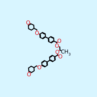 CC(COC(=O)c1ccc(-c2ccc(OCC3CCC4OC4C3)cc2)cc1)OC(=O)c1ccc(-c2ccc(OCC3CCC4OC4C3)cc2)cc1